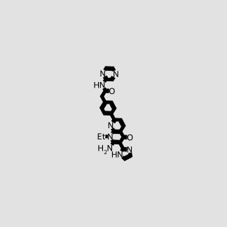 CCn1c(N)c(-c2ncc[nH]2)c(=O)c2ccc(-c3ccc(CC(=O)Nc4cnccn4)cc3)nc21